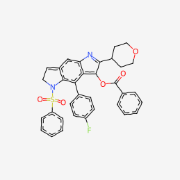 O=C(OC1=c2c(cc3c(c2-c2ccc(F)cc2)N(S(=O)(=O)c2ccccc2)CC=3)N=C1C1CCOCC1)c1ccccc1